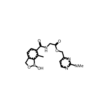 CNc1nccc(COC(=O)CNC(=O)c2ccc3c(c2C)B(O)OC3)n1